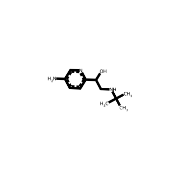 CC(C)(C)NCC(O)c1ccc(N)cn1